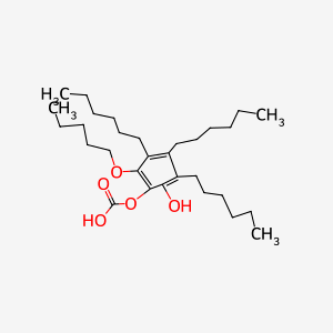 CCCCCCc1c(O)c(OC(=O)O)c(OCCCCC)c(CCCCCC)c1CCCCCC